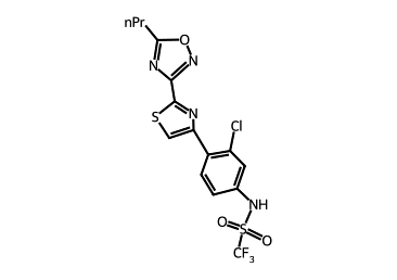 CCCc1nc(-c2nc(-c3ccc(NS(=O)(=O)C(F)(F)F)cc3Cl)cs2)no1